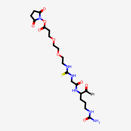 CC(C)C(=O)C(CCCNC(N)=O)NC(=O)CNC(=S)NCCOCCOCCC(=O)ON1C(=O)CCC1=O